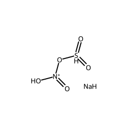 O=[N+](O)O[SH](=O)=O.[NaH]